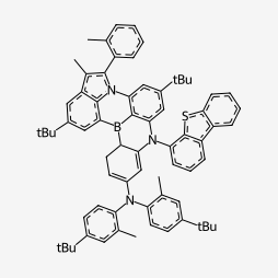 Cc1ccccc1-c1c(C)c2cc(C(C)(C)C)cc3c2n1-c1cc(C(C)(C)C)cc2c1B3C1CC=C(N(c3ccc(C(C)(C)C)cc3C)c3ccc(C(C)(C)C)cc3C)C=C1N2c1cccc2c1sc1ccccc12